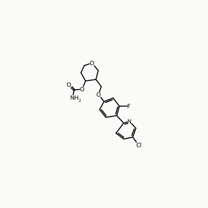 NC(=O)OC1CCOCC1COc1ccc(-c2ccc(Cl)cn2)c(F)c1